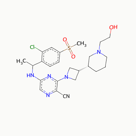 CC(Nc1cnc(C#N)c(N2CC([C@H]3CCCN(CCO)C3)C2)n1)c1ccc(S(C)(=O)=O)cc1Cl